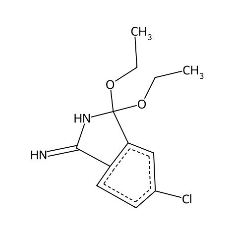 CCOC1(OCC)NC(=N)c2ccc(Cl)cc21